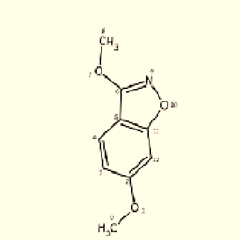 COc1ccc2c(OC)noc2c1